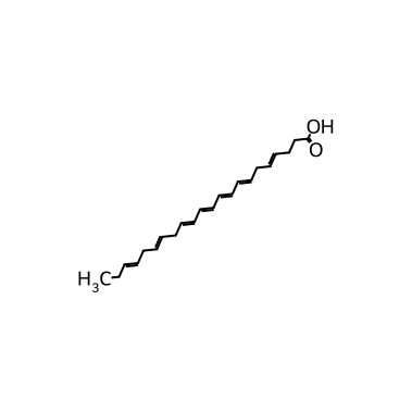 CC/C=C/C/C=C/C/C=C/C=C/C=C/C=C/C/C=C/CCC(=O)O